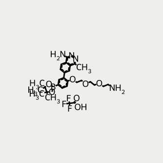 Cc1nnc(N)c2ccc(-c3cc(B4OC(C)(C)C(C)(C)O4)ccc3OCCOCCOCCN)cc12.O=C(O)C(F)(F)F